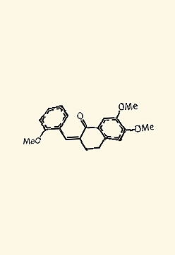 COc1ccccc1C=C1CCc2cc(OC)c(OC)cc2C1=O